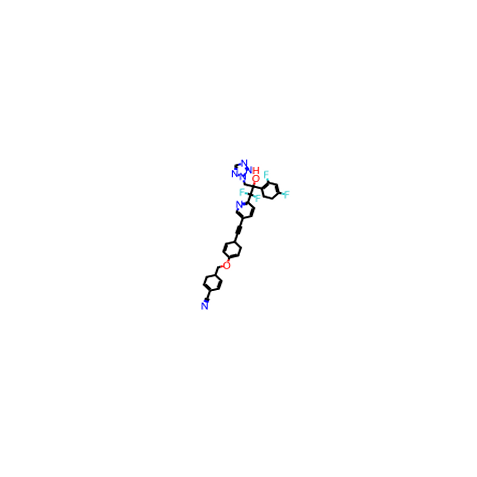 N#CC1=CCC(COC2=CCC(C#Cc3ccc(C(F)(F)C(O)(Cn4ncnn4)C4=C(F)C=C(F)CC4)nc3)C=C2)C=C1